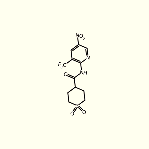 O=C(Nc1ncc([N+](=O)[O-])cc1C(F)(F)F)C1CCS(=O)(=O)CC1